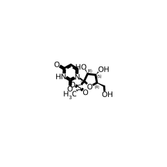 CS(=O)(=O)[C@@]1(n2ccc(=O)[nH]c2=O)O[C@H](CO)[C@@H](O)[C@H]1O